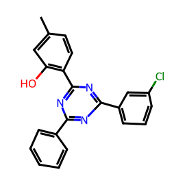 Cc1ccc(-c2nc(-c3ccccc3)nc(-c3cccc(Cl)c3)n2)c(O)c1